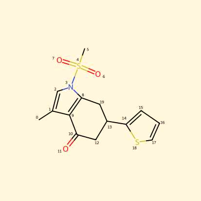 Cc1cn(S(C)(=O)=O)c2c1C(=O)CC(c1cccs1)C2